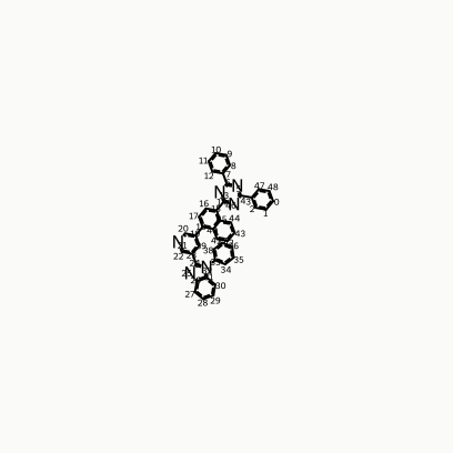 c1ccc(-c2nc(-c3ccccc3)nc(-c3ccc(-c4cncc(-c5nc6ccccc6n5-c5ccccc5)c4)c4ccccc34)n2)cc1